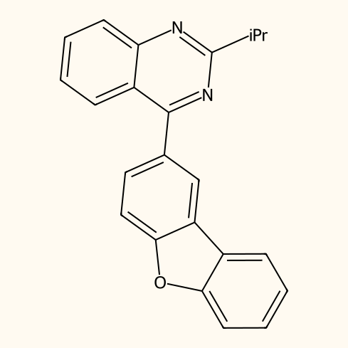 CC(C)c1nc(-c2ccc3oc4ccccc4c3c2)c2ccccc2n1